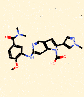 COc1ccc(C(=O)N(C)C)cc1Nc1cc2c(cn1)cc(-c1cnn(C)c1)n2C(=O)O